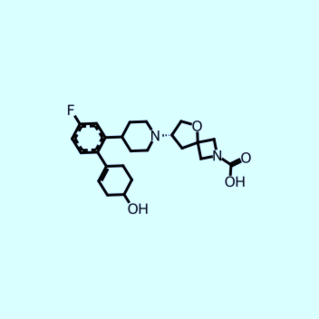 O=C(O)N1CC2(C[C@H](N3CCC(c4cc(F)ccc4C4=CCC(O)CC4)CC3)CO2)C1